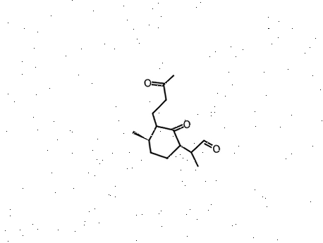 CC(=O)CCC1C(=O)C(C(C)C=O)CC[C@H]1C